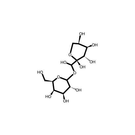 OC[C@H]1OC(OC(O)[C@]2(O)OC[C@@H](O)[C@@H](O)[C@@H]2O)[C@H](O)[C@@H](O)[C@H]1O